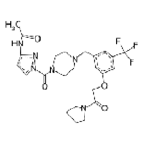 CC(=O)Nc1ccn(C(=O)N2CCN(Cc3cc(OCC(=O)N4CCCC4)cc(C(F)(F)F)c3)CC2)n1